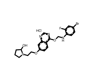 Cl.OC1CCCN1CCOc1ccc2c(OCNc3ccc(Br)cc3F)ncnc2c1